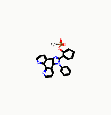 O=S(=O)(Oc1ccccc1-c1nc2c3cccnc3c3ncccc3c2n1-c1ccccc1)C(F)(F)F